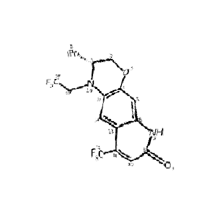 CC(C)[C@@H]1COc2cc3[nH]c(=O)cc(C(F)(F)F)c3cc2N1CC(F)(F)F